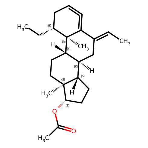 CC=C1C[C@H]2[C@@H]3CC[C@H](OC(C)=O)[C@@]3(C)CC[C@@H]2[C@]2(C)C1=C=CC[C@H]2CC